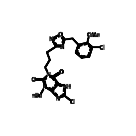 CCCCn1c(=O)n(CCCc2noc(Cc3cccc(Cl)c3OC)n2)c(=O)c2[nH]c(Cl)nc21